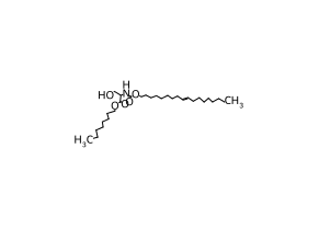 CCCCCCCCC=CCCCCCCCCOC(=O)NC(CO)C(=O)OCCCCCCCC